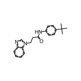 CC(C)(C)c1ccc(NC(=O)CCn2cnc3ccccc32)cc1